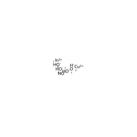 [Cu+2].[In+3].[OH-].[OH-].[OH-].[OH-].[OH-]